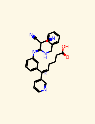 N#CC(C#N)C(=Nc1cccc(/C(=C\CCCC(=O)O)c2cccnc2)c1)NCc1ccccc1